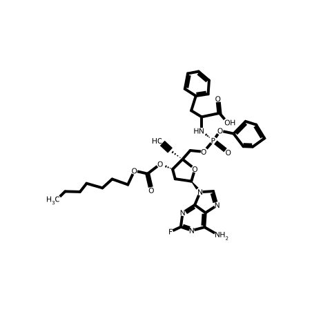 C#C[C@]1(CO[P@@](=O)(NC(Cc2ccccc2)C(=O)O)Oc2ccccc2)O[C@@H](n2cnc3c(N)nc(F)nc32)C[C@@H]1OC(=O)OCCCCCCC